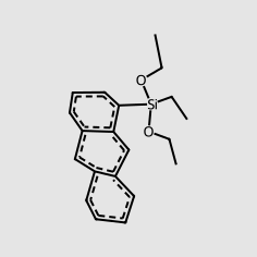 CCO[Si](CC)(OCC)c1cccc2cc3ccccc3cc12